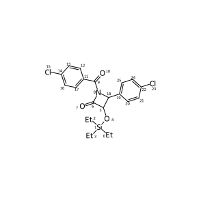 CC[Si](CC)(CC)OC1C(=O)N(C(=O)c2ccc(Cl)cc2)C1c1ccc(Cl)cc1